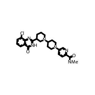 CNC(=O)c1ccc(N2CCC(N3CCCC(c4nc5c(Cl)cccc5c(=O)[nH]4)C3)CC2)cn1